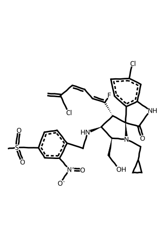 C=C(Cl)/C=C\C=C(/F)[C@H]1[C@H](NCc2ccc(S(C)(=O)=O)cc2[N+](=O)[O-])[C@H](CO)N(CC2CC2)[C@@]12C(=O)Nc1cc(Cl)ccc12